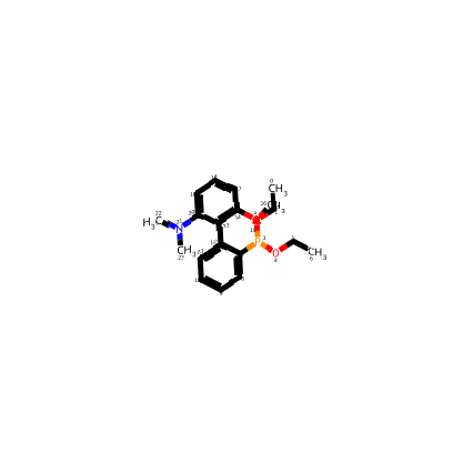 CCOP(OCC)c1ccccc1-c1c(OC)cccc1N(C)C